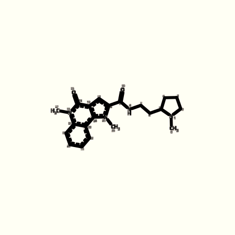 CN1CCCC1CCNC(=O)c1cc2c(=O)n(C)c3ccccc3c2n1C